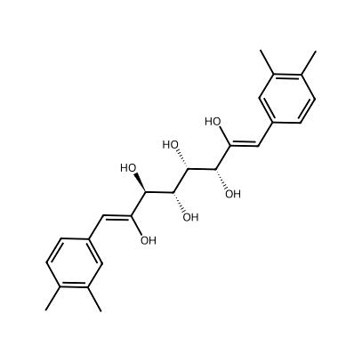 Cc1ccc(C=C(O)[C@@H](O)[C@@H](O)[C@H](O)[C@@H](O)C(O)=Cc2ccc(C)c(C)c2)cc1C